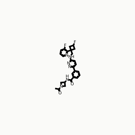 CC(=O)N1CC(NC(=O)c2cccc(-c3ccc(NCC4(c5ncccc5F)CC(F)C4)nn3)c2)C1